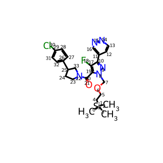 C[Si](C)(C)CCOCn1nc(-c2ccnnc2)c(F)c1C(=O)N1CCC(c2ccc(Cl)cc2)C1